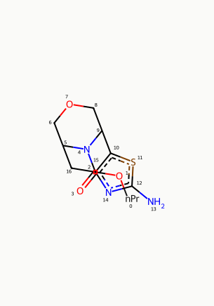 CCCOC(=O)N1C2COCC1c1sc(N)nc1C2